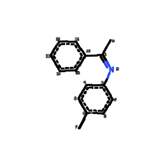 C/C(=N/c1ccc(C)cc1)c1ccccc1